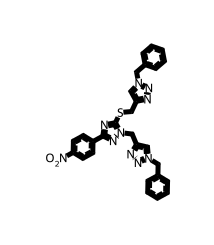 O=[N+]([O-])c1ccc(-c2nc(SCc3cn(Cc4ccccc4)nn3)n(Cc3cn(Cc4ccccc4)nn3)n2)cc1